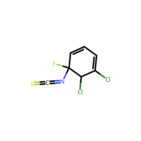 FC1(N=C=S)C=CC=C(Cl)C1Cl